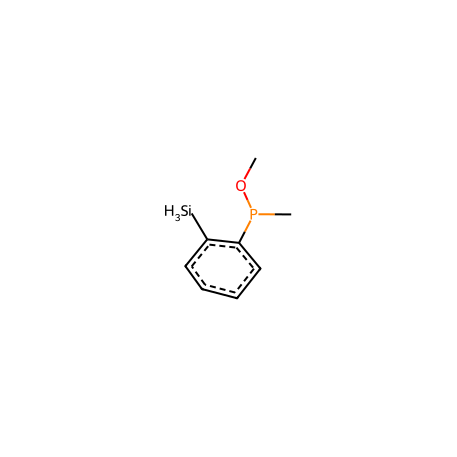 COP(C)c1ccccc1[SiH3]